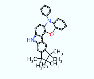 CC1(C)c2cc3[nH]c4ccc5c(c4c3cc2C(C)(C)C1(C)C)Oc1ccccc1N5c1ccccc1